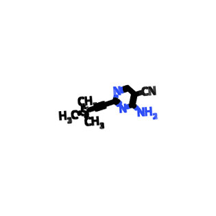 C[Si](C)(C)C#Cc1ncc(C#N)c(N)n1